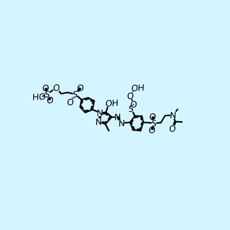 CC(=O)N(C)CCS(=O)(=O)c1ccc(N=Nc2c(C)nn(-c3ccc(S(=O)(=O)CCOS(=O)(=O)O)cc3)c2O)c(SOOO)c1